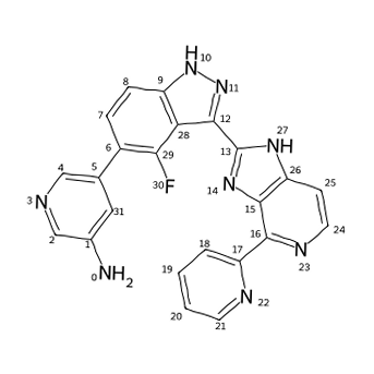 Nc1cncc(-c2ccc3[nH]nc(-c4nc5c(-c6ccccn6)nccc5[nH]4)c3c2F)c1